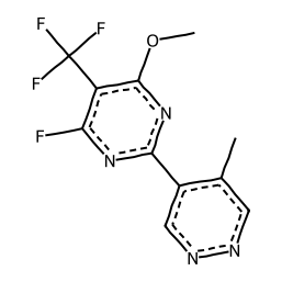 COc1nc(-c2cnncc2C)nc(F)c1C(F)(F)F